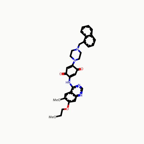 COCCOc1cc2ncnc(NC3=CC(=O)C(N4CCN(Cc5cccc6ccccc56)CC4)=CC3=O)c2cc1OC